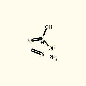 O=[PH](O)O.P.[CH]=S